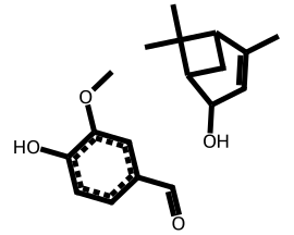 CC1=CC(O)C2CC1C2(C)C.COc1cc(C=O)ccc1O